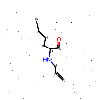 C=CCN[C@H]([C]=O)CCCC